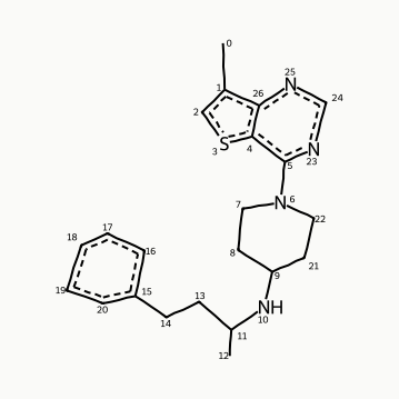 Cc1csc2c(N3CCC(NC(C)CCc4ccccc4)CC3)ncnc12